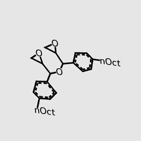 CCCCCCCCc1ccc(C(OC(c2ccc(CCCCCCCC)cc2)C2CO2)C2CO2)cc1